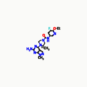 CCOc1ncc(NC(=O)N2CCN(c3nc(N)nc4c3cnn4C)[C@@H](C)C2)cc1F